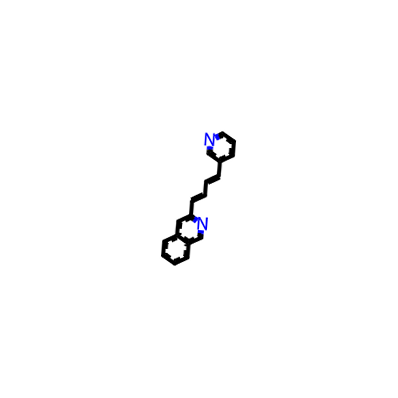 C(C=Cc1cc2ccccc2cn1)=Cc1cccnc1